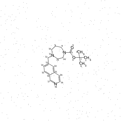 CC(C)(C)OC(=O)N1CCCN(Cc2ccc3cnccc3c2)CC1